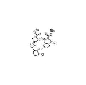 CO[C@H]1CN(c2nc(-c3cccc(Cl)c3OCc3ccc4c(c3)CCN(C(=O)OC(C)(C)C)C[C@@H]4C)cs2)CC[C@H]1C(=O)OC(C)(C)C